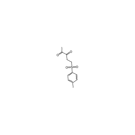 CC(=O)C(=O)CCS(=O)(=O)c1ccc(C)cc1